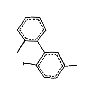 Cc1ccc(I)c(-c2ccccc2C)c1